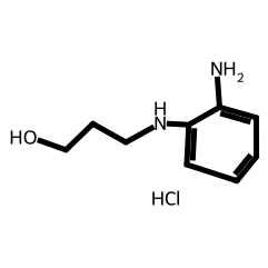 Cl.Nc1ccccc1NCCCO